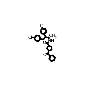 CC(NC(=O)C1CCC(C(=O)c2ccccc2)C1)C(Cc1ccc(Cl)cc1)c1ccc(Cl)cc1